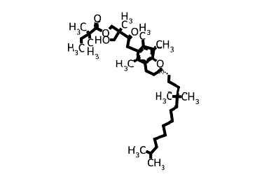 CCC(C)(C)C(=O)OCC(C)(CO)C(=O)Cc1c(C)c(C)c2c(c1C)CC[C@@H](CCCC(C)(C)CCCCCCCC(C)C)O2